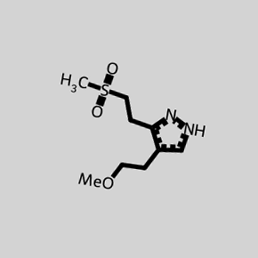 COCCc1c[nH]nc1CCS(C)(=O)=O